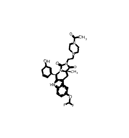 CC(=O)N1CCN(CCN2C(=O)N3[C@H](C4=CC(O)CC=C4)c4[nH]c5ccc(OC(F)F)cc5c4C[C@@]3(C)C2=O)CC1